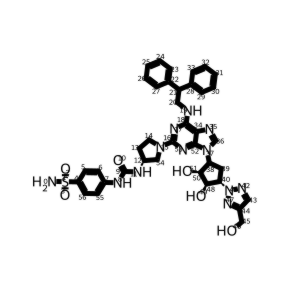 NS(=O)(=O)c1ccc(NC(=O)N[C@@H]2CCN(c3nc(NCC(c4ccccc4)c4ccccc4)c4ncn(C5C[C@H](n6ncc(CO)n6)[C@@H](O)[C@H]5O)c4n3)C2)cc1